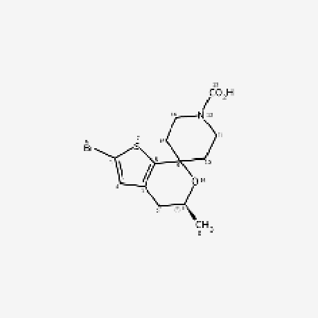 C[C@H]1Cc2cc(Br)sc2C2(CCN(C(=O)O)CC2)O1